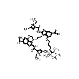 CCn1nc(C)cc1C(=O)Nc1nc2cc(C(N)=O)cc(OCCCN=C(N(C)C)N(C)C)c2n1CCC[C@H]1COc2cc(C(N)=O)cc3nc(NC(=O)c4cc(C)nn4CC)n1c23